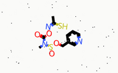 CC(S)=NOC(=O)N(C)S(=O)OCc1cccnc1